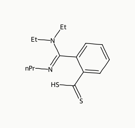 CCCN=C(c1ccccc1C(=S)S)N(CC)CC